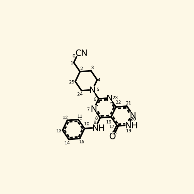 N#CCC1CCN(c2nc(Nc3[c]cccc3)c3c(=O)[nH]ncc3n2)CC1